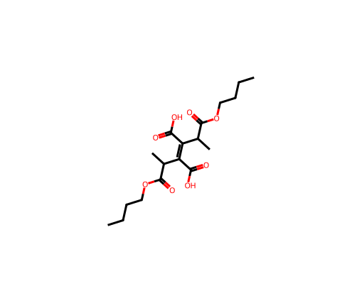 CCCCOC(=O)C(C)/C(C(=O)O)=C(\C(=O)O)C(C)C(=O)OCCCC